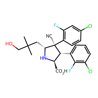 CC(C)(CO)C[C@H]1N[C@H](C(=O)O)[C@@H](c2cccc(Cl)c2F)[C@]1(C#N)c1ccc(Cl)cc1F